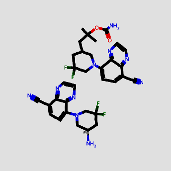 CC(C)(CC1CN(c2ccc(C#N)c3nccnc23)CC(F)(F)C1)OC(N)=O.N#Cc1ccc(N2C[C@H](N)CC(F)(F)C2)c2nccnc12